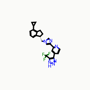 FC(F)(F)c1[nH]nnc1-c1ccnc(-c2cn(C[C@H]3CCc4c(C5CC5)cccc43)cn2)c1